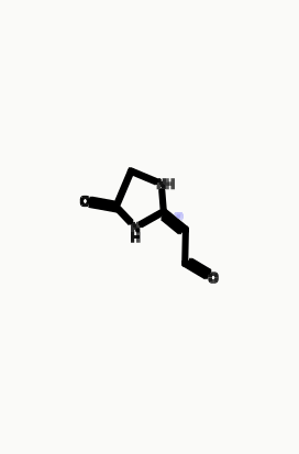 O=C/C=C1/NCC(=O)N1